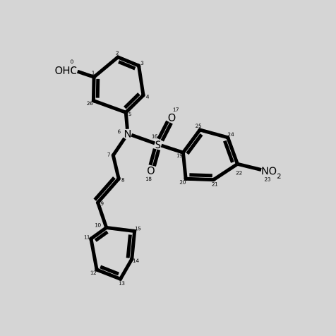 O=Cc1cccc(N(CC=Cc2ccccc2)S(=O)(=O)c2ccc([N+](=O)[O-])cc2)c1